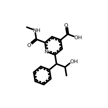 CNC(=O)c1cc(C(=O)O)cc(C(c2ccccc2)C(C)O)n1